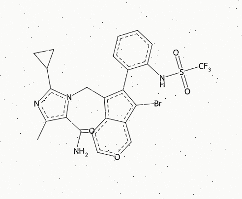 Cc1nc(C2CC2)n(Cc2c3ccocc-3c(Br)c2-c2ccccc2NS(=O)(=O)C(F)(F)F)c1C(N)=O